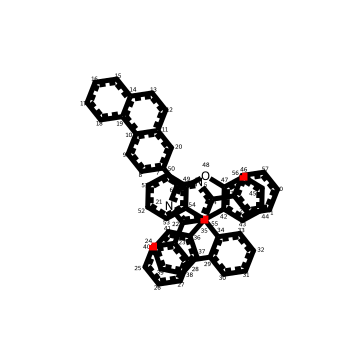 c1ccc(-c2nc(-c3ccc4c(ccc5ccccc54)c3)nc(-c3ccccc3-c3ccccc3C3(c4ccccc4)c4ccccc4Oc4ccccc43)n2)cc1